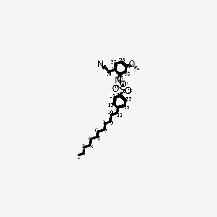 CCCCCCCCCCCCc1ccc(S(=O)(=O)ON=C2CC(OC)=CC=C2CC#N)cc1